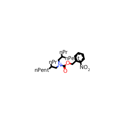 CCCCCC(CCC)CN(CC(CCC)CCCCC)C(=O)OCc1ccccc1[N+](=O)[O-]